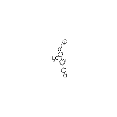 Cc1cc(OCCN2CCCC2)ccc1-c1ccc(-c2ccc(Cl)cc2)cn1